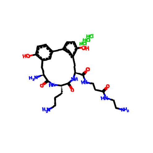 Cl.Cl.Cl.NCCC[C@@H]1NC(=O)[C@@H](N)Cc2cc(ccc2O)-c2ccc(O)c(c2)C[C@@H](C(=O)NCCC(=O)NCCN)NC1=O